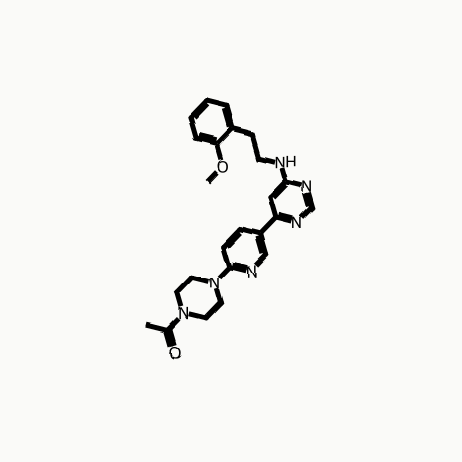 COc1ccccc1CCNc1cc(-c2ccc(N3CCN(C(C)=O)CC3)nc2)ncn1